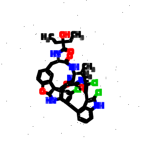 CCC(O)(CC)C(=O)N[C@H]1Cc2ccc3c(c2)[C@]24c5cc(Cl)cc(c5NC2O3)-c2cccc3[nH]c(Cl)c(c23)-c2oc(nc2Cl)-c2nc(oc24)[C@H](C(C)C)NC1=O